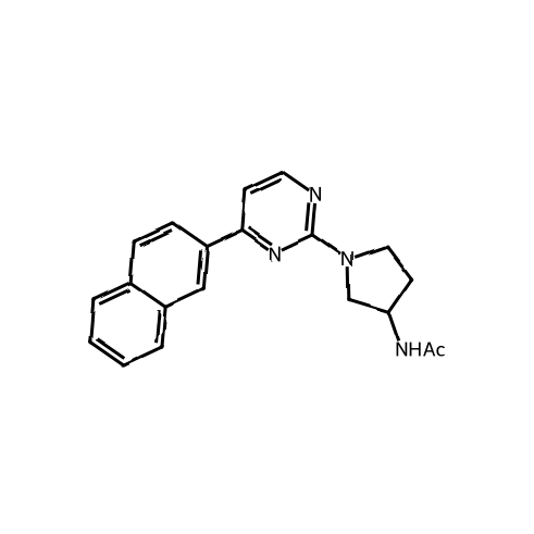 CC(=O)NC1CCN(c2nccc(-c3ccc4ccccc4c3)n2)C1